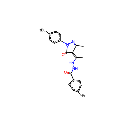 CC1=NN(c2ccc(C(C)(C)C)cc2)C(=O)/C1=C(/C)NNC(=O)c1ccc(C(C)(C)C)cc1